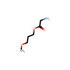 COCCCOC(=O)CN